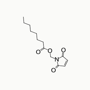 CCCCCCCC(=O)OCN1C(=O)C=CC1=O